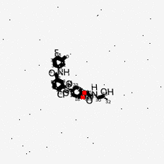 Cc1cc(NC(=O)c2ccc(Cl)c(S(=O)(=O)[C@@H]3CC4C[C@H](C)C(C3)[C@@]4(O)CC(=O)NC[C@H](C)O)c2)ccc1F